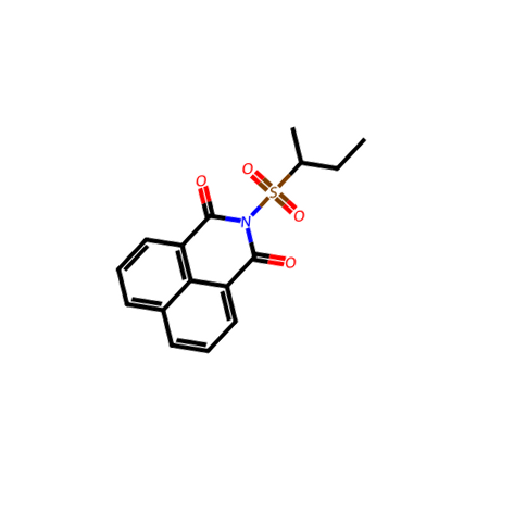 CCC(C)S(=O)(=O)N1C(=O)c2cccc3cccc(c23)C1=O